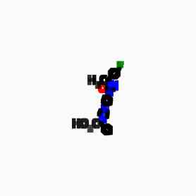 CC(c1ccc(F)cc1)n1ncn(-c2ccc(N3CCN(C(C(=O)O)c4ccccc4)CC3)cc2)c1=O